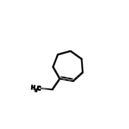 CCC1=CCCCCC1